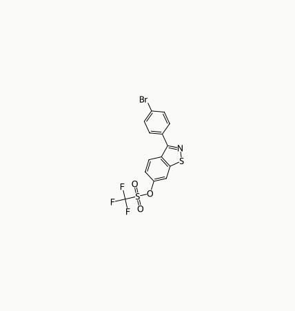 O=S(=O)(Oc1ccc2c(-c3ccc(Br)cc3)nsc2c1)C(F)(F)F